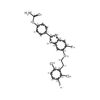 NC(=O)Oc1ccc(-c2nc3cc(F)c(OCCc4c(Cl)ccc(F)c4Cl)cc3s2)cc1